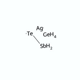 [Ag].[GeH4].[SbH2][Te]